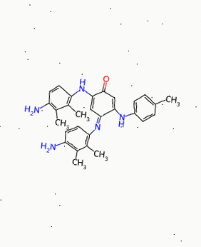 Cc1ccc(NC2=CC(=O)C(Nc3ccc(N)c(C)c3C)=C/C2=N\c2ccc(N)c(C)c2C)cc1